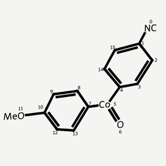 [C-]#[N+]c1cc[c]([Co](=[O])[c]2ccc(OC)cc2)cc1